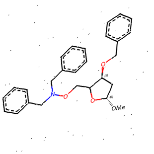 CO[C@H]1C[C@H](OCc2ccccc2)C(CON(Cc2ccccc2)Cc2ccccc2)O1